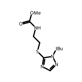 COC(=O)NCCSc1ncnn1C(C)(C)C